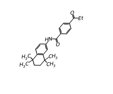 CCC(=O)c1ccc(C(=O)Nc2ccc3c(c2)C(C)(C)CCC3(C)C)cc1